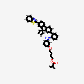 C=C(C)C(=O)OCCCCOc1cccc(Nc2ccccc2-c2ccc3c(c2)C(CC)(CC)c2cc(-c4nc5ccccc5s4)ccc2-3)c1